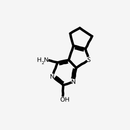 Nc1nc(O)nc2sc3c(c12)CCC3